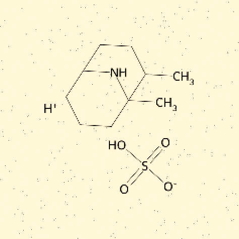 CC1CCC2CCCC1(C)N2.O=S(=O)([O-])O.[H+]